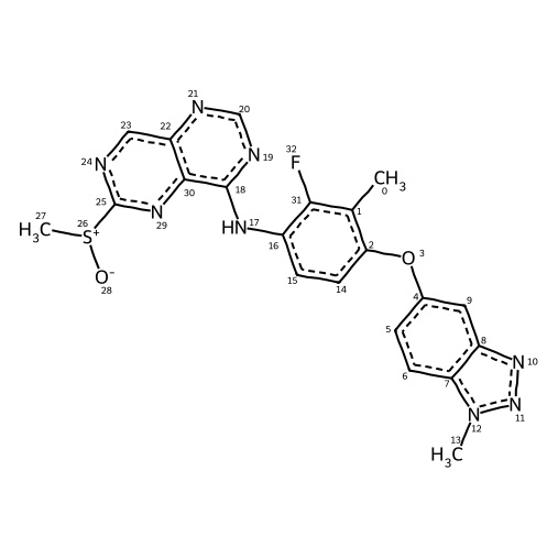 Cc1c(Oc2ccc3c(c2)nnn3C)ccc(Nc2ncnc3cnc([S+](C)[O-])nc23)c1F